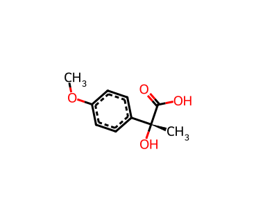 COc1ccc([C@@](C)(O)C(=O)O)cc1